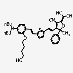 [C-]#[N+]C1=C(/C=C/c2ccc(/C=C/c3ccc(N(CCCC)CCCC)cc3OCCCCO)s2)C(C)(c2ccccc2)OC1=C(C#N)C#N